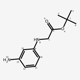 CC(C)(C)OC(=O)CNc1cccc(N)c1